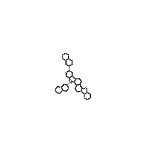 c1ccc2cc(-c3ccc4c(c3)c3ccc5c(ccc6c7ccccc7sc65)c3n4-c3ccc4ccccc4c3)ccc2c1